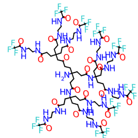 NC(CCC(=O)CC(CCC(=O)NCCNC(=O)C(F)(F)F)(CCC(=O)NCCNC(=O)C(F)(F)F)CCC(=O)NCCNC(=O)C(F)(F)F)(CCC(=O)NC(CCC(=O)NCCNC(=O)C(F)(F)F)(CCC(=O)NCCNC(=O)C(F)(F)F)CCC(=O)NCCNC(=O)C(F)(F)F)CCC(=O)NC(CCC(=O)NCCNC(=O)C(F)(F)F)(CCC(=O)NCCNC(=O)C(F)(F)F)CC(=O)NCCNC(=O)C(F)(F)F